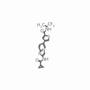 C[C@@H](NC(=O)c1cc(-c2ccc3nc(NC(=O)C4CC4)cn3c2)cs1)C(F)(F)F